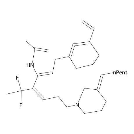 C=CC1=C=C(C/C=C(NC(=C)C)/C(=C\CCN2CCC/C(=C\CCCCC)C2)C(C)(F)F)CCC1